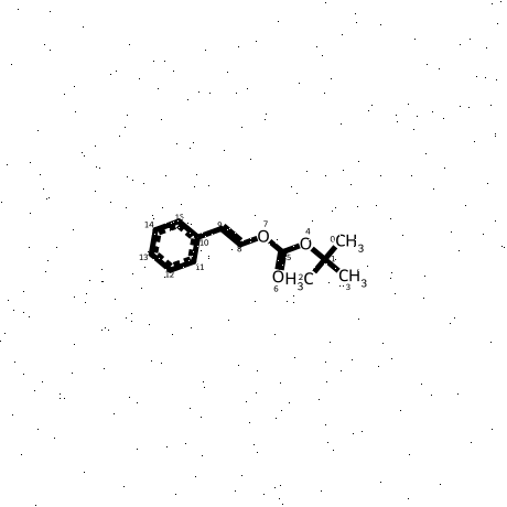 CC(C)(C)OC(=O)O/C=C/c1ccccc1